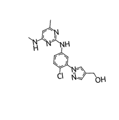 CNc1cc(C)nc(Nc2ccc(Cl)c(-n3cc(CO)cn3)c2)n1